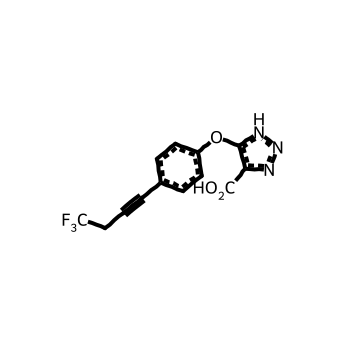 O=C(O)c1nn[nH]c1Oc1ccc(C#CCC(F)(F)F)cc1